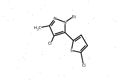 CCn1nc(C)c(Cl)c1-c1ccc(Cl)s1